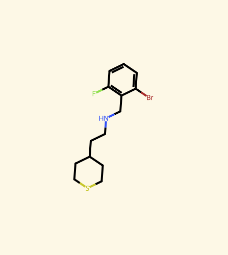 Fc1cccc(Br)c1CNCCC1CCSCC1